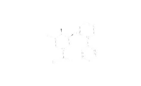 O=C(O)N1CC(Br)[C@@H](O)[C@@H](O)C1.c1ccc(N2CCCCC2)cc1